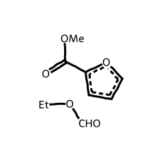 CCOC=O.COC(=O)c1ccco1